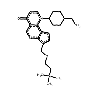 C[Si](C)(C)CCOCn1ccc2c1ncc1c(=O)ccn(C3CCC(CN)CC3)c12